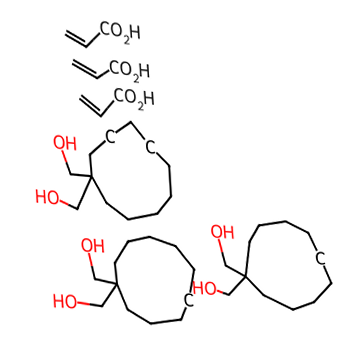 C=CC(=O)O.C=CC(=O)O.C=CC(=O)O.OCC1(CO)CCCCCCCCC1.OCC1(CO)CCCCCCCCC1.OCC1(CO)CCCCCCCCC1